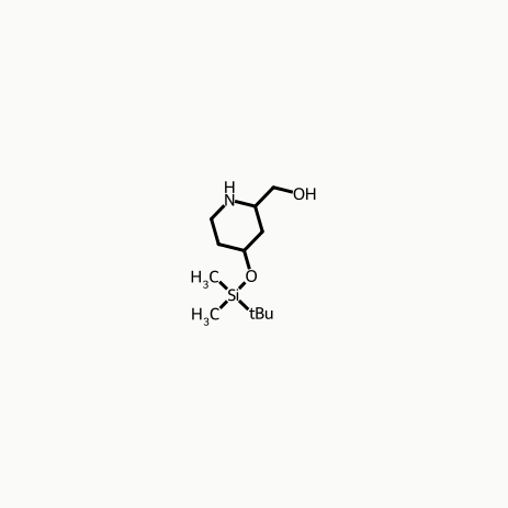 CC(C)(C)[Si](C)(C)OC1CCNC(CO)C1